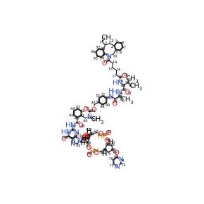 C=CC1Cc2ccccc2CN(C(=O)CCCCC(=O)N[C@H](C(=O)N[C@@H](C)C(=O)Nc2ccc(COC(=O)N(C)Cc3ccccc3C(=O)Nc3nc4c(ncn4[C@@H]4O[C@@H]5CO[PH](=O)O[C@H]6C[C@H](Oc7ccncn7)C[C@@H]6CO[PH](=O)O[C@@H]4[C@@H]5O)c(=O)[nH]3)cc2)C(C)C)c2ccccc21